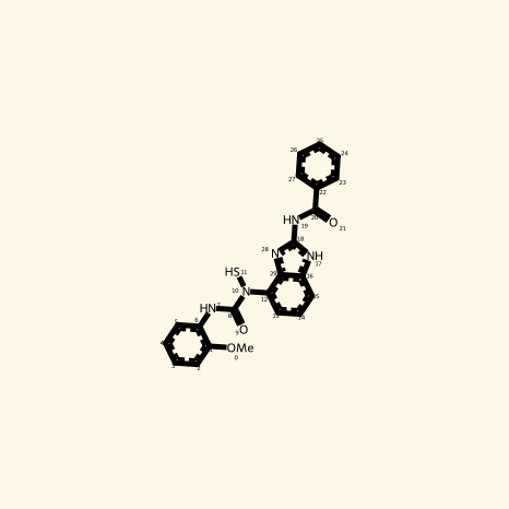 COc1ccccc1NC(=O)N(S)c1cccc2[nH]c(NC(=O)c3ccccc3)nc12